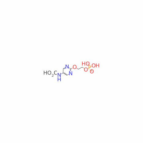 O=C(O)Nc1cnc(OCCOP(=O)(O)O)nc1